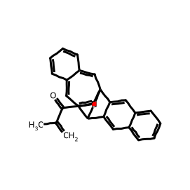 C=C(C)C(=O)N1SC23C=C(C=c4ccccc4=C2)C1c1cc2ccccc2cc13